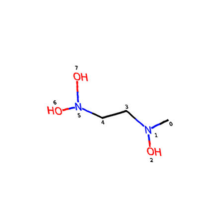 CN(O)CCN(O)O